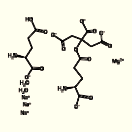 N[C@@H](CCC(=O)O)C(=O)[O-].N[C@@H](CCC(=O)OC(CC(=O)[O-])(CC(=O)[O-])C(=O)[O-])C(=O)[O-].O.O.[Mg+2].[Na+].[Na+].[Na+]